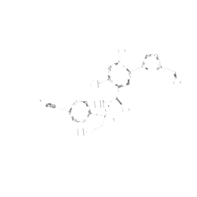 C[C@@](CO)(NC(=O)c1cc(-c2ccc(C=O)o2)c(O)cc1Cl)c1ccc(C#N)cc1